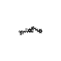 O=[PH](O)OCCCNCc1ccc(-c2noc(CCCCc3ccccc3)n2)c(Br)c1